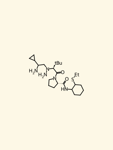 CCSC1CCCCC1NC(=O)[C@@H]1CCCN1C(=O)[C@@H](N(N)CC(N)C1CC1)C(C)(C)C